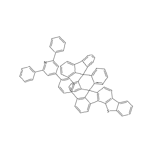 c1ccc(-c2cc(-c3ccc(-c4cccc5c4C4(c6ccccc6C6(c7ccccc7-c7ccccc76)c6ccccc64)c4ccc6c(sc7ccccc76)c4-5)cc3)cc(-c3ccccc3)n2)cc1